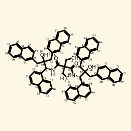 CCC(CC)(C(=O)N[C@@H](c1cccc2ccccc12)C(O)(Cc1ccc2ccccc2c1)Cc1ccc2ccccc2c1)C(=O)N[C@@H](c1cccc2ccccc12)C(O)(Cc1ccc2ccccc2c1)Cc1ccc2ccccc2c1